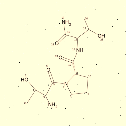 CC(O)C(N)C(=O)N1CCC[C@H]1C(=O)NC(C(N)=O)C(C)O